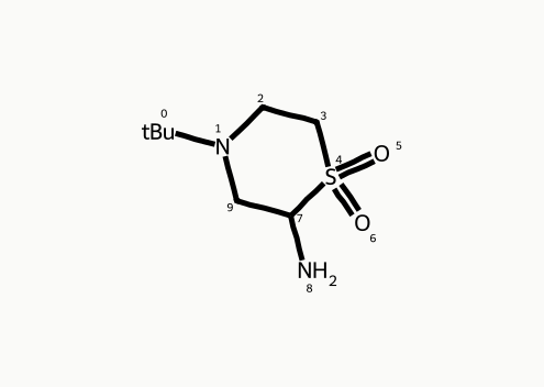 CC(C)(C)N1CCS(=O)(=O)C(N)C1